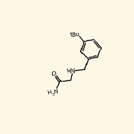 CC(C)(C)c1cccc(CNCC(N)=O)c1